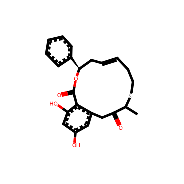 CC1CCC/C=C/C[C@H](c2ccccc2)OC(=O)c2c(O)cc(O)cc2CC1=O